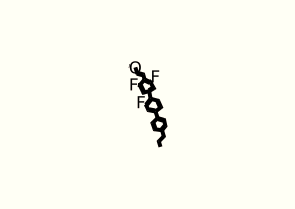 CCCc1ccc(-c2ccc(-c3cc(F)c(C=COC)c(F)c3)c(F)c2)cc1